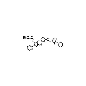 CCOC(=O)CCc1c(-c2ccccc2)c[nH]c1Cc1ccc(OCc2coc(-c3ccccc3)n2)cc1